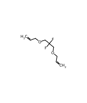 C=CCOCC(F)(F)COCC=C